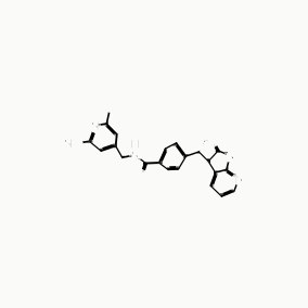 Cc1cc(CNC(=O)c2ccc([C@@H](C)[C@@]3(C)C(=O)Nc4ncccc43)cc2)cc(C#N)n1